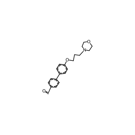 O=[C]c1ccc(-c2ccc(OCCCN3CCOCC3)cc2)cc1